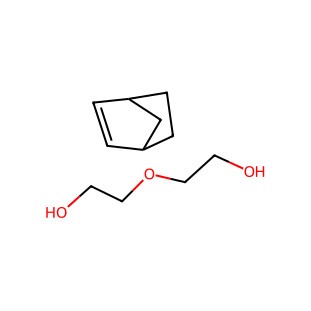 C1=CC2CCC1C2.OCCOCCO